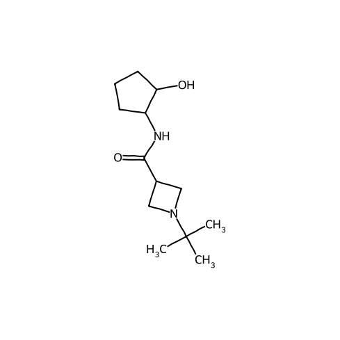 CC(C)(C)N1CC(C(=O)NC2CCCC2O)C1